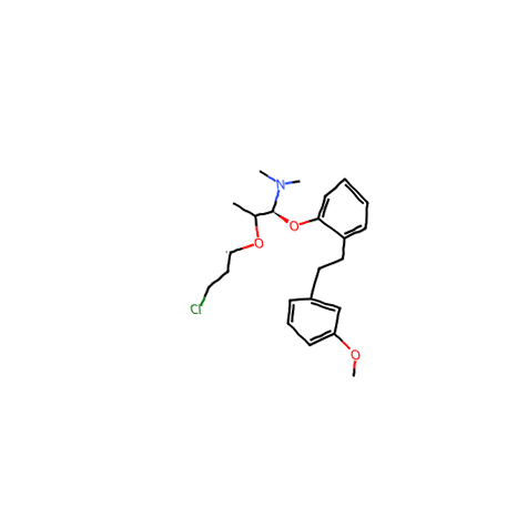 COc1cccc(CCc2ccccc2O[C@@H](C(C)O[CH]CCCl)N(C)C)c1